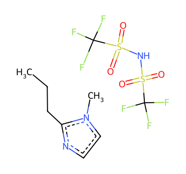 CCCc1nccn1C.O=S(=O)(NS(=O)(=O)C(F)(F)F)C(F)(F)F